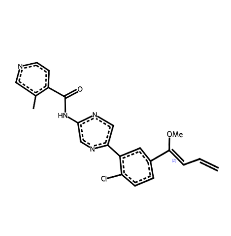 C=C/C=C(\OC)c1ccc(Cl)c(-c2cnc(NC(=O)c3ccncc3C)cn2)c1